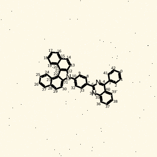 c1ccc(-c2nc(-c3ccc(-n4c5ccc6ccccc6c5c5c6ccccc6ccc54)cc3)nc3ccccc23)cc1